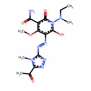 CCN(C)n1c(O)c(N=Nc2nnc(C(C)=O)n2C)c(OC)c(C(N)=O)c1=O